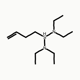 C=CCC[SiH](N(CC)CC)N(CC)CC